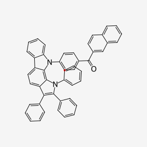 O=C(c1ccc(-n2c3ccccc3c3ccc4c(-c5ccccc5)c(-c5ccccc5)n(-c5ccccc5)c4c32)cc1)c1ccc2ccccc2c1